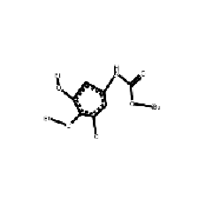 CCOc1cc(NC(=O)OC(C)CC)cc(Cl)c1OCC